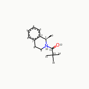 C[C@@H]1c2ccccc2CCN1C(=O)C(C)(C)C